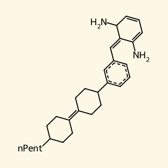 CCCCCC1CCC(=C2CCC(c3cccc(C=C4C(N)=CC=CC4N)c3)CC2)CC1